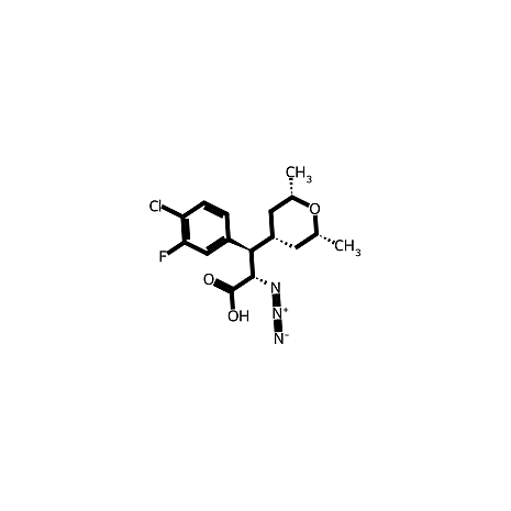 C[C@@H]1C[C@H]([C@H](c2ccc(Cl)c(F)c2)[C@H](N=[N+]=[N-])C(=O)O)C[C@H](C)O1